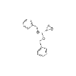 c1ccc(COC(OCc2ccccc2)[C@@H]2CO2)cc1